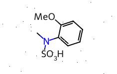 COc1ccccc1N(C)S(=O)(=O)O